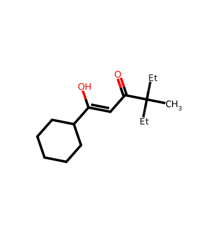 CCC(C)(CC)C(=O)/C=C(\O)C1CCCCC1